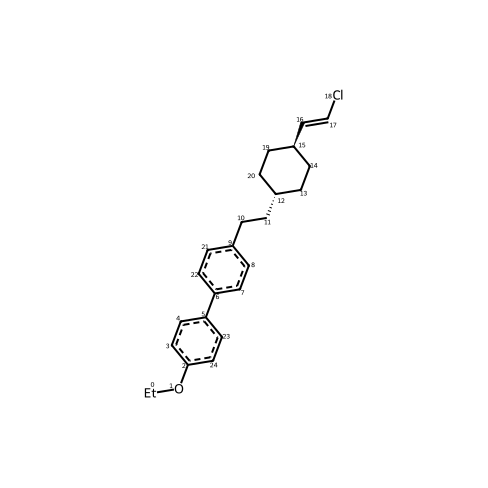 CCOc1ccc(-c2ccc(CC[C@H]3CC[C@H](/C=C/Cl)CC3)cc2)cc1